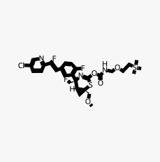 COC[C@]12C[C@H]1[C@@](CF)(c1cc(/C=C(\F)c3ccc(Cl)cn3)ccc1F)N=C(OC(=O)NCOCC[Si](C)(C)C)S2